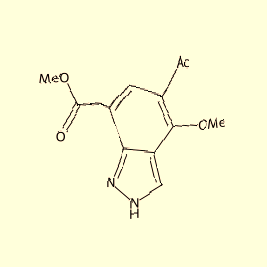 COC(=O)c1cc(C(C)=O)c(OC)c2c[nH]nc12